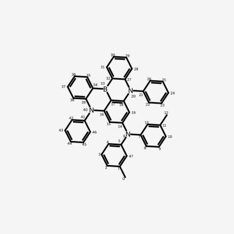 Cc1cccc(N(c2cccc(C)c2)c2cc3c4c(c2)N(c2ccccc2)c2ccccc2B4c2ccccc2N3c2ccccc2)c1